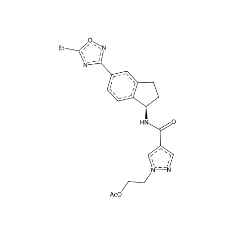 CCc1nc(-c2ccc3c(c2)CC[C@H]3NC(=O)c2cnn(CCOC(C)=O)c2)no1